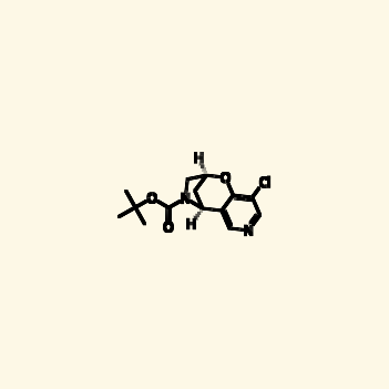 CC(C)(C)OC(=O)N1C[C@@H]2C[C@H]1c1cncc(Cl)c1O2